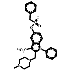 CCOC(=O)c1c(CN2CCN(C)CC2)n(-c2ccccc2)c2ccc(OS(=O)(=O)Cc3ccccc3)cc12